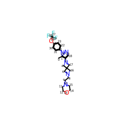 Cc1c(N2CC3(CN(CCN4CCOCC4)C3)C2)cnn1-c1ccc(OC(F)(F)F)cc1